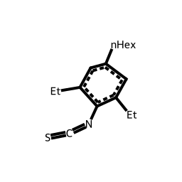 CCCCCCc1cc(CC)c(N=C=S)c(CC)c1